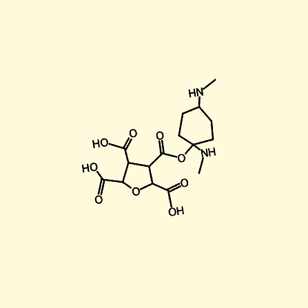 CNC1CCC(NC)(OC(=O)C2C(C(=O)O)OC(C(=O)O)C2C(=O)O)CC1